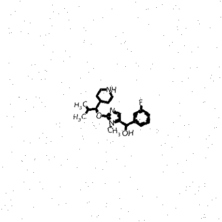 CC(C)C(Oc1ncc(C(O)c2cccc(F)c2)n1C)C1CCNCC1